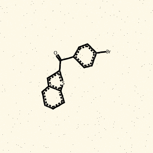 O=C(c1ccc(Br)cc1)c1cc2ccccc2s1